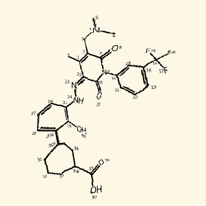 CC1=C(CN(C)C)C(=O)N(c2cccc(C(F)(F)F)c2)C(=O)C1=NNc1cccc(C2CCCC(C(=O)O)C2)c1O